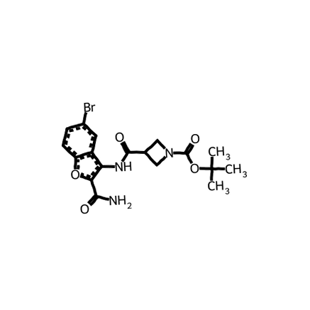 CC(C)(C)OC(=O)N1CC(C(=O)Nc2c(C(N)=O)oc3ccc(Br)cc23)C1